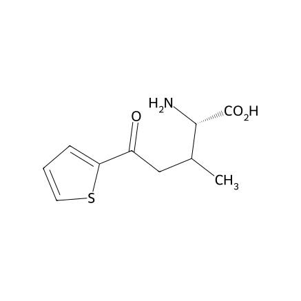 CC(CC(=O)c1cccs1)[C@H](N)C(=O)O